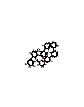 c1ccc(-c2cccc(-c3ccccc3)c2-n2c3ccccc3c3c4oc5ccc6c7ccccc7n(-c7ccccc7)c6c5c4ccc32)cc1